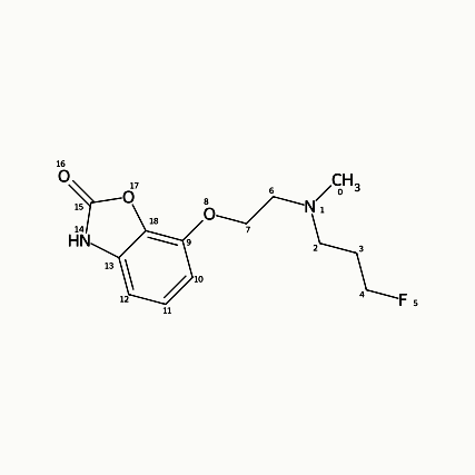 CN(CCCF)CCOc1cccc2[nH]c(=O)oc12